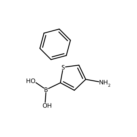 Nc1csc(B(O)O)c1.c1ccccc1